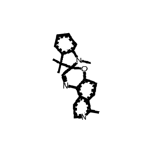 Cc1nccc2c3c(ccc12)OC1(C=N3)N(C)c2ccccc2C1(C)C